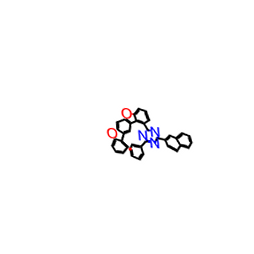 c1ccc(-c2nc(-c3ccc4ccccc4c3)nc(-c3cccc4oc5cc6oc7ccccc7c6cc5c34)n2)cc1